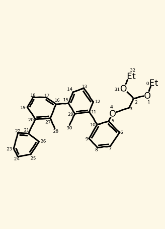 CCOC(COc1ccccc1-c1cccc(-c2cccc(-c3ccccc3)c2C)c1C)OCC